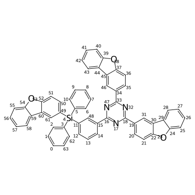 c1ccc([Si](c2ccccc2)(c2cccc(-c3nc(-c4ccc5oc6ccccc6c5c4)nc(-c4ccc5oc6ccccc6c5c4)n3)c2)c2ccc3oc4ccccc4c3c2)cc1